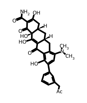 CC(=O)Cc1cccc(-c2cc(N(C)C)c3c(c2O)C(=O)C2=C(O)[C@]4(O)C(=O)C(C(N)=O)=C(O)C[C@@H]4C[C@@H]2C3)c1